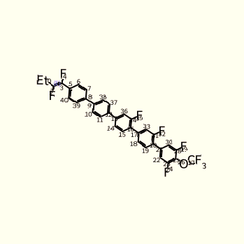 CC/C(F)=C(\F)c1ccc(-c2ccc(-c3ccc(-c4ccc(-c5cc(F)c(OC(F)(F)F)c(F)c5)c(F)c4)c(F)c3)cc2)cc1